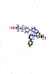 CCc1nc2ccc(C3CCN(CC(=O)N4CC(O)C4)CC3)nn2c1N(C)c1nccc(-c2ccc(F)cc2)n1